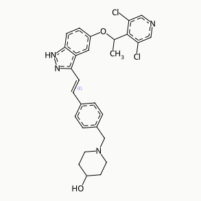 CC(Oc1ccc2[nH]nc(/C=C/c3ccc(CN4CCC(O)CC4)cc3)c2c1)c1c(Cl)cncc1Cl